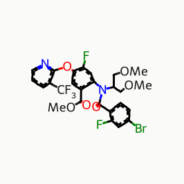 COCC(COC)N(C(=O)c1ccc(Br)cc1F)c1cc(F)c(Oc2ncccc2C(F)(F)F)cc1C(=O)OC